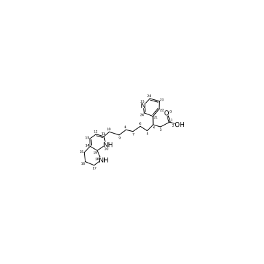 O=C(O)CC(CCCCCCC1=CC=C2CCCNC2N1)c1cccnc1